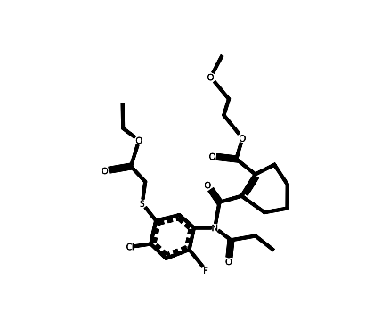 CCOC(=O)CSc1cc(N(C(=O)CC)C(=O)C2=C(C(=O)OCCOC)CCCC2)c(F)cc1Cl